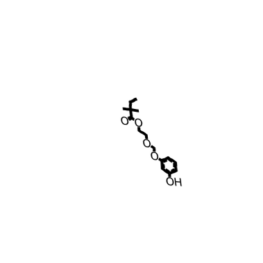 CCC(C)(C)C(=O)OCCOCOc1cccc(O)c1